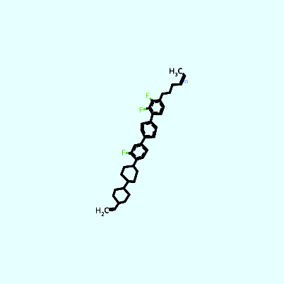 C=CC1CCC(C2CCC(c3ccc(-c4ccc(-c5ccc(CCC/C=C\C)c(F)c5F)cc4)cc3F)CC2)CC1